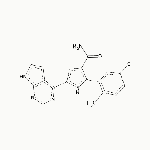 Cc1ccc(Cl)cc1-c1[nH]c(-c2ncnc3[nH]ccc23)cc1C(N)=O